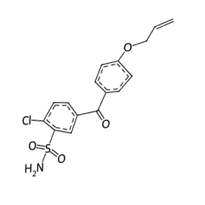 C=CCOc1ccc(C(=O)c2ccc(Cl)c(S(N)(=O)=O)c2)cc1